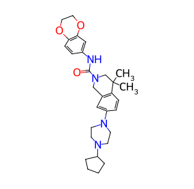 CC1(C)CN(C(=O)Nc2ccc3c(c2)OCCO3)Cc2cc(N3CCN(C4CCCC4)CC3)ccc21